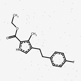 CCOC(=O)c1[nH]cc(CCc2ccc(F)cc2)c1C